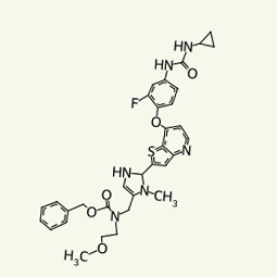 COCCN(CC1=CNC(c2cc3nccc(Oc4ccc(NC(=O)NC5CC5)cc4F)c3s2)N1C)C(=O)OCc1ccccc1